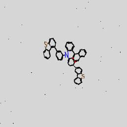 c1cc(-c2cccc3sc4ccccc4c23)cc(N(c2ccc(-c3ccc4sc5ccccc5c4c3)cc2)c2ccccc2-c2cccc3ccccc23)c1